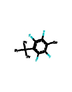 CC(C)[Si](c1c(F)c(F)[c]([Ga])c(F)c1F)(C(C)C)C(C)C